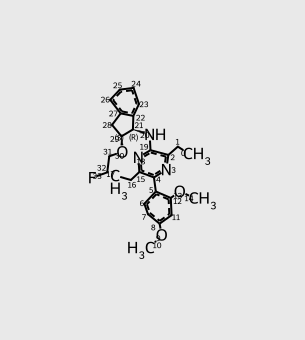 CCc1nc(-c2ccc(OC)cc2OC)c(CC)nc1N[C@@H]1c2ccccc2C[C@@H]1OCCF